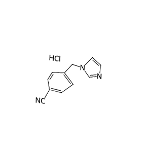 Cl.N#Cc1ccc(Cn2ccnc2)cc1